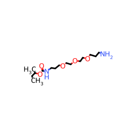 CCC(C)OC(=O)NCCCOCCOCCOCCCN